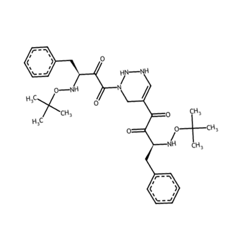 CC(C)(C)ON[C@@H](Cc1ccccc1)C(=O)C(=O)C1=CNNN(C(=O)C(=O)[C@H](Cc2ccccc2)NOC(C)(C)C)C1